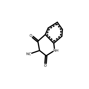 N#CC1C(=O)Nc2ccccc2C1=O